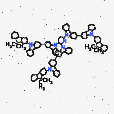 CC1(C)c2ccccc2-c2ccc(-n3c4ccccc4c4cc(-c5ccc6c(c5)c5ccccc5n6-c5ccc(-n6c7ccccc7c7cc(-c8ccc9c(c8)c8ccccc8n9-c8ccc9c(c8)C(C)(C)c8ccccc8-9)ccc76)c(-n6c7ccccc7c7cc(-c8ccc9c(c8)c8ccccc8n9-c8ccc9c(c8)C(C)(C)c8ccccc8-9)ccc76)n5)ccc43)cc21